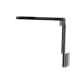 Cl.Cl.Cl.Cl.Cl.Cl.Cl.Cl.Cl.Cl.Cl.Cl.Cl.[Ca+2].[Ca+2].[Ca+2].[Ca+2].[Ca+2].[Ca+2].[Ca+2].[Ca+2].[Ca+2].[Ca+2].[Ca+2].[Ca+2].[Ca+2].[Ca+2].[Ca+2].[Ca+2].[Ca+2].[Ca+2].[Ca+2].[Ca+2].[Ca+2].[Ca+2].[Ca+2].[Ca+2].[Ca+2].[Ca+2].[Ca+2].[Ca+2].[Ca+2].[Cl-].[Cl-].[Cl-].[Cl-].[Cl-].[Cl-].[Cl-].[Cl-].[Cl-].[Cl-].[Cl-].[Cl-].[Cl-].[Cl-].[Cl-].[Cl-].[Cl-].[Cl-].[Cl-].[Cl-].[Cl-].[Cl-].[Cl-].[Cl-].[Cl-].[Cl-].[Cl-].[Cl-].[Cl-].[Cl-].[Cl-].[Cl-].[Cl-].[Cl-].[Cl-].[Cl-].[Cl-].[Cl-].[Cl-].[Cl-].[Cl-].[Cl-].[Cl-].[Cl-].[Cl-].[Cl-].[Cl-].[Cl-].[Cl-].[Cl-].[Cl-].[Cl-].[Cl-].[Cl-].[Cl-].[Cl-].[Cl-].[Cl-]